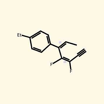 C#C/C(F)=C(F)\C(=C/C)c1ccc(CC)cc1